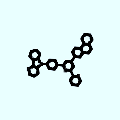 c1ccc(-c2cc(-c3ccc4c(ccc5ccccc54)c3)cc(-c3ccc(-n4c5ccccc5c5ncccc54)cc3)n2)nc1